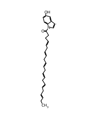 CCC=CCC=CCC=CCC=CCC=CCC=CCCC(=O)n1c[c]c2cc(O)ccc21